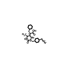 CC(=O)N(N[C@@H](Cc1ccc(N=[N+]=[N-])cc1)C(=O)O)[C@@H](Cc1ccccc1)C(=O)O